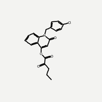 CCCC(=O)C(=O)Oc1cc(=O)n(Cc2ccc(Cl)cc2)c2ccccc12